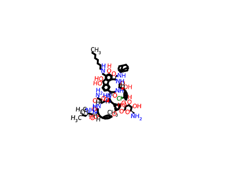 CCCCCCCCNCc1c(O)cc2c3c1C(O)(O)c1ccc(cc1-3)[C@H]1NC(=O)[C@@H]3NC(=O)[C@H](CC(N)=O)NC(=O)[C@H](NC(=O)[C@@H](CC(C)C)NC)[C@H](O)c4ccc(c(C)c4)Oc4cc3cc(c4O[C@@H]3O[C@H](CN)[C@@H](O)[C@H](O)[C@H]3O)Oc3ccc(cc3Cl)[C@@H](O)[C@H](NC1=O)C(=O)N[C@@H]2C(=O)NC1C2CC3CC(C2)CC1C3